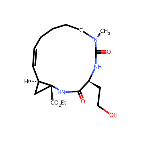 CCOC(=O)[C@@]12C[C@H]1/C=C\CCCCN(C)C(=O)N[C@@H](CCO)C(=O)N2